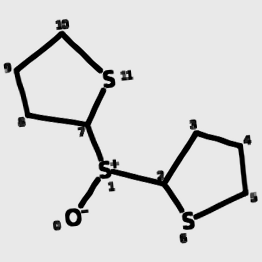 [O-][S+](C1CCCS1)C1CCCS1